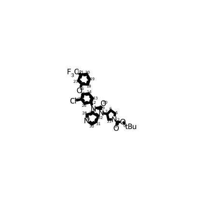 CC(C)(C)OC(=O)N1CCC(n2c(=O)n(-c3ccc(Oc4cccc(C(F)(F)F)c4)c(Cl)c3)c3cnccc32)C1